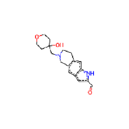 O=Cc1cc2cc3c(cc2[nH]1)CCN(CC1(O)CCOCC1)C3